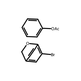 Brc1cc2ccc1OC2.CC(=O)Oc1ccccc1